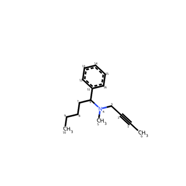 CC#CCN(C)C(CCCC)c1ccccc1